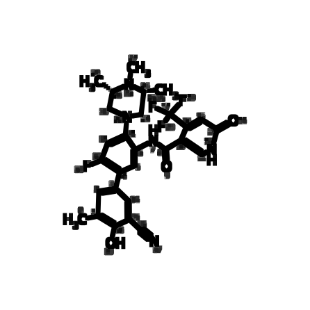 Cc1cc(-c2cc(NC(=O)c3c[nH]c(=O)cc3C(F)(F)F)c(N3C[C@@H](C)N(C)[C@@H](C)C3)cc2F)cc(C#N)c1O